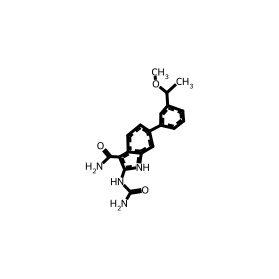 COC(C)c1cccc(-c2ccc3c(C(N)=O)c(NC(N)=O)[nH]c3c2)c1